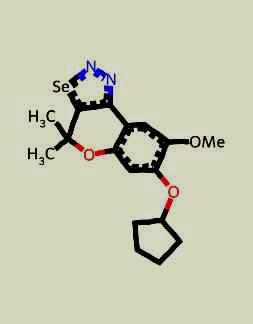 COc1cc2c(cc1OC1CCCC1)OC(C)(C)c1[se]nnc1-2